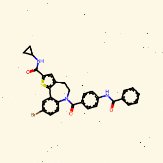 O=C(Nc1ccc(C(=O)N2CCc3cc(C(=O)NC4CC4)sc3-c3cc(Br)ccc32)cc1)c1ccccc1